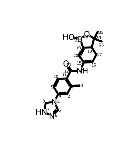 Cc1cc(N2C=NNC2)ccc1C(=O)NC1=CCC2C(=C1)B(O)OC2(C)C